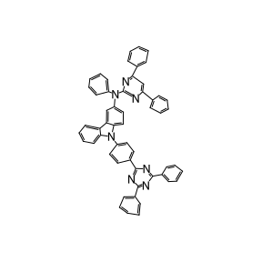 c1ccc(-c2cc(-c3ccccc3)nc(N(c3ccccc3)c3ccc4c(c3)c3ccccc3n4-c3ccc(-c4nc(-c5ccccc5)nc(-c5ccccc5)n4)cc3)n2)cc1